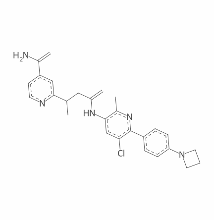 C=C(CC(C)c1cc(C(=C)N)ccn1)Nc1cc(Cl)c(-c2ccc(N3CCC3)cc2)nc1C